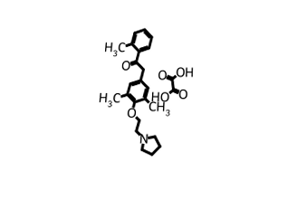 Cc1ccccc1C(=O)Cc1cc(C)c(OCCN2CCCC2)c(C)c1.O=C(O)C(=O)O